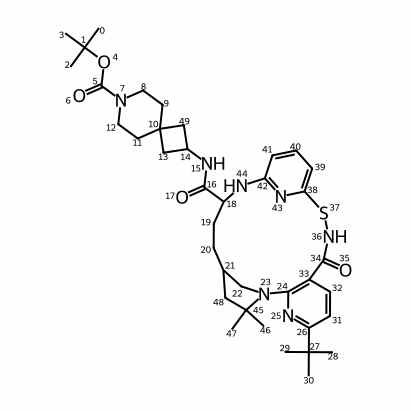 CC(C)(C)OC(=O)N1CCC2(CC1)CC(NC(=O)C1CCC3CN(c4nc(C(C)(C)C)ccc4C(=O)NSc4cccc(n4)N1)C(C)(C)C3)C2